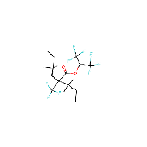 CCC(C)(C)CC(C(=O)OC(C(F)(F)F)C(F)(F)F)(C(F)(F)F)C(C)(C)CC